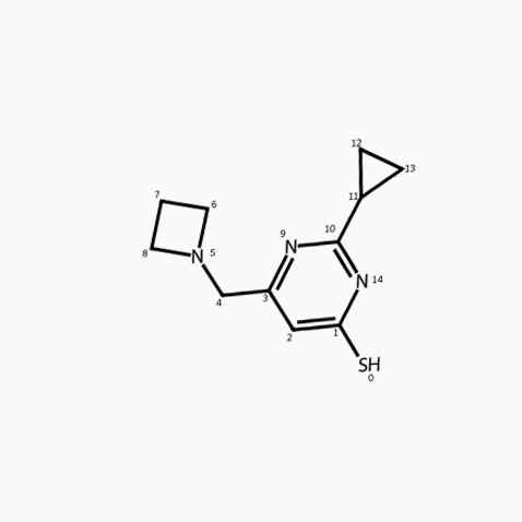 Sc1cc(CN2CCC2)nc(C2CC2)n1